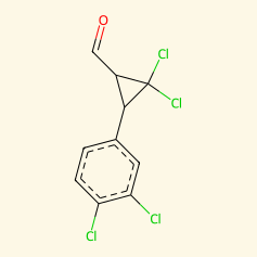 O=CC1C(c2ccc(Cl)c(Cl)c2)C1(Cl)Cl